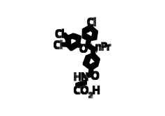 CCC[C@H](c1ccc(C(=O)NCCC(=O)O)cc1)[C@@H](Oc1ccc(Cl)c(Cl)c1)c1ccc(Cl)cc1